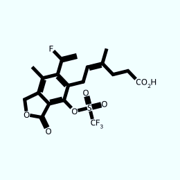 C=C(F)c1c(C)c2c(c(OS(=O)(=O)C(F)(F)F)c1CC=C(C)CCC(=O)O)C(=O)OC2